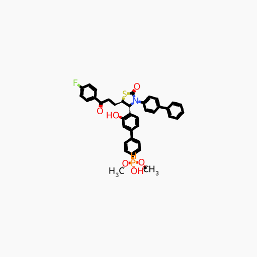 CO[PH](O)(OC)c1ccc(-c2ccc([C@@H]3[C@@H](CCC(=O)c4ccc(F)cc4)SC(=O)N3c3ccc(-c4ccccc4)cc3)c(O)c2)cc1